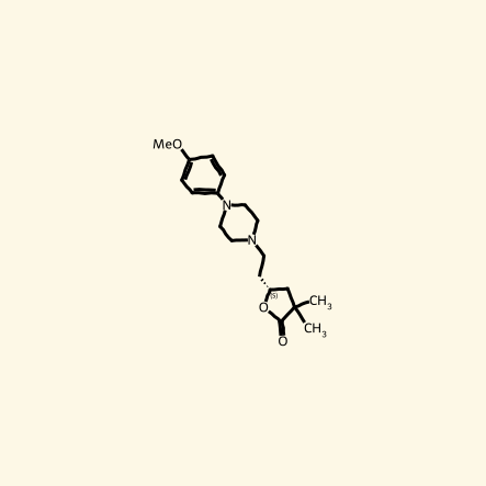 COc1ccc(N2CCN(CC[C@@H]3CC(C)(C)C(=O)O3)CC2)cc1